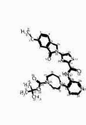 COc1ccc2c(c1)C(=O)N(c1csc(C(=O)Nc3cnccc3N3CCCN(C(=O)OC(C)(C)C)CC3)n1)C2